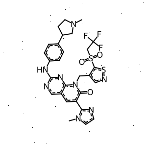 CN1CCC(c2ccc(Nc3ncc4cc(-c5nccn5C)c(=O)n(Cc5cnsc5S(=O)(=O)CC(F)(F)F)c4n3)cc2)C1